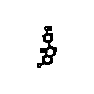 O=C(Nc1cc(Cl)ccc1F)c1ccc(O)cc1